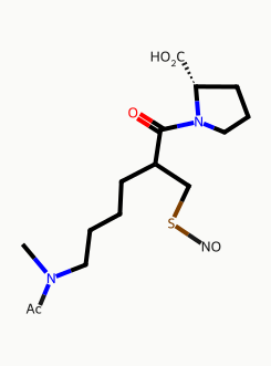 CC(=O)N(C)CCCCC(CSN=O)C(=O)N1CCC[C@H]1C(=O)O